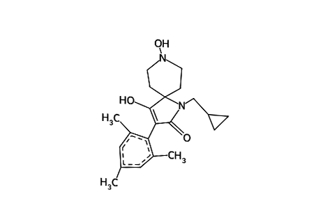 Cc1cc(C)c(C2=C(O)C3(CCN(O)CC3)N(CC3CC3)C2=O)c(C)c1